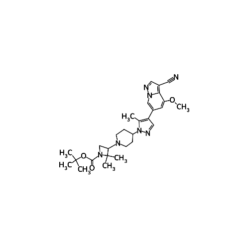 COc1cc(-c2cnn(C3CCN(C4CN(C(=O)OC(C)(C)C)C4(C)C)CC3)c2C)cn2ncc(C#N)c12